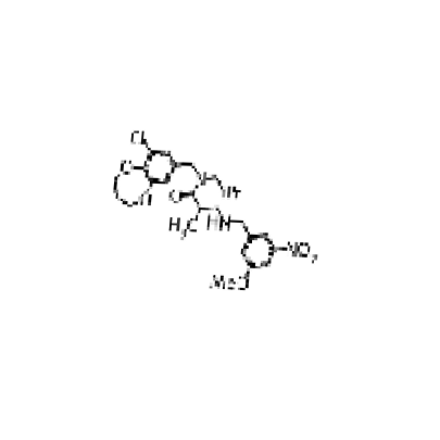 COc1cc(CNCC(C)C(=O)N(Cc2cc(Cl)c3c(c2)OCCCO3)CC(C)C)cc([N+](=O)[O-])c1